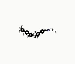 C/C=C/CCc1ccc(-c2cc(F)c(C(F)(F)Oc3ccc(-c4ccc(-c5cc(F)c(F)c(F)c5)c(F)c4)c(F)c3)c(F)c2)cc1